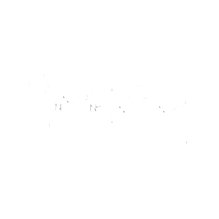 CN1C(=O)[C@@H](N2CCc3c(nn(Cc4ccccc4)c3Cl)C2=O)COc2ccc3c(c21)CCN(C(=O)C1CCOCC1)C3